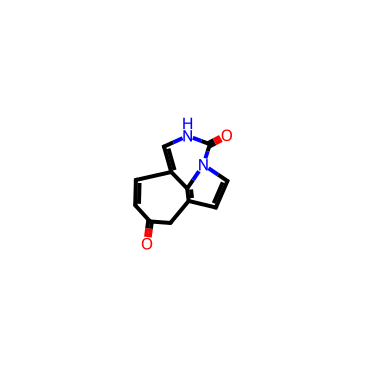 O=C1C=Cc2c[nH]c(=O)n3ccc(c23)C1